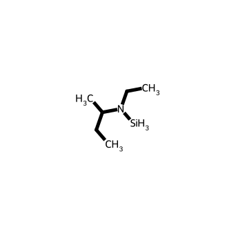 CCC(C)N([SiH3])CC